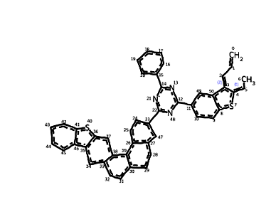 C=C/C=c1\c(=C/C)sc2ccc(-c3nc(-c4ccccc4)nc(-c4ccc5c(ccc6ccc7cc8c(cc7c65)sc5ccccc58)c4)n3)cc12